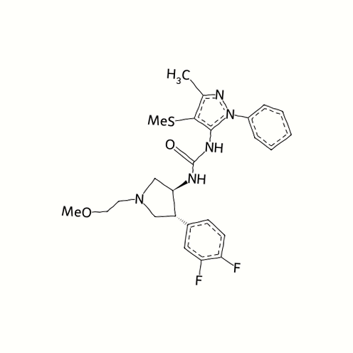 COCCN1C[C@@H](NC(=O)Nc2c(SC)c(C)nn2-c2ccccc2)[C@H](c2ccc(F)c(F)c2)C1